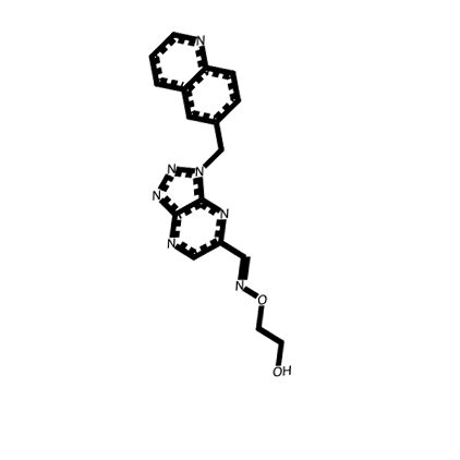 OCCO/N=C/c1cnc2nnn(Cc3ccc4ncccc4c3)c2n1